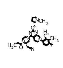 C=CC(=O)N1CCN(c2nc(OC[C@@H]3CCCN3C)nc3c2CCN(c2ccc(F)c(C)c2C)C3)C[C@@H]1CC#N